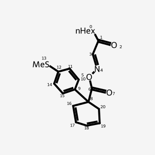 CCCCCCC(=O)C=NOC(=O)C1(c2ccc(SC)cc2)C=CC=CC1